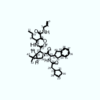 C=CCNC(=O)C(=O)C(CCC)NC(=O)[C@@H]1[C@H]2[C@@H](CN1C(=O)[C@@H](NC(=O)CC1CCCC1)C1Cc3ccccc3C1)C2(C)C